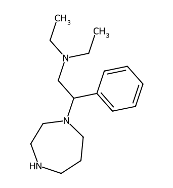 CCN(CC)CC(c1ccccc1)N1CCCNCC1